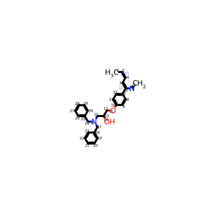 C=N/C(=C\C=C/C)c1ccc(OCC(O)CN(Cc2ccccc2)Cc2ccccc2)cc1